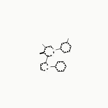 O=c1c(Br)cn(-c2cccc(C(F)(F)F)c2)nc1-c1ccnn1-c1ccccc1